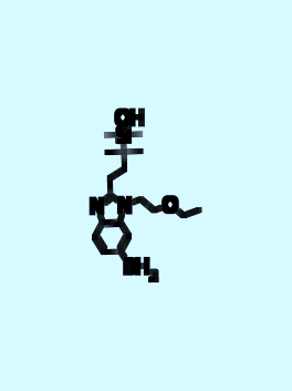 Bc1ccc2nc(CCC(C)(C)[Si](C)(C)O)n(CCOCC)c2c1